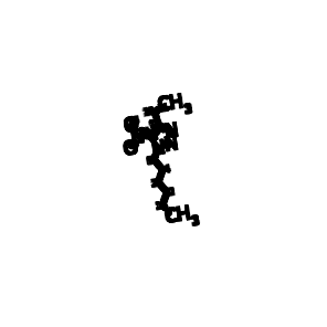 CCCCCCn1nnc(CC)c1[N+](=O)[O-]